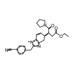 CCOC(=O)CC(C(=O)N1CCCC1)=C1C=Cc2c(nc(Cc3ccc(C#N)cc3)n2C)C1